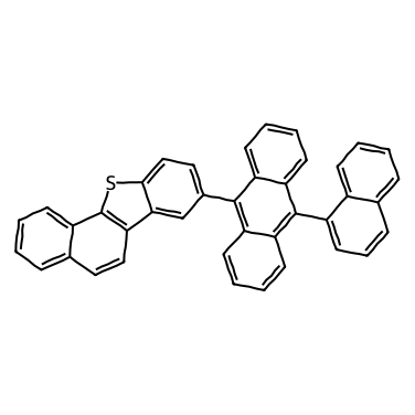 c1ccc2c(-c3c4ccccc4c(-c4ccc5sc6c7ccccc7ccc6c5c4)c4ccccc34)cccc2c1